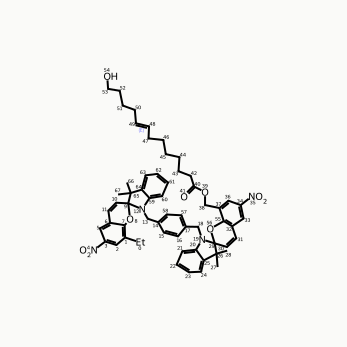 CCc1cc([N+](=O)[O-])cc2c1OC1(C=C2)N(Cc2ccc(CN3c4ccccc4C(C)(C)C34C=Cc3cc([N+](=O)[O-])cc(COC(=O)CCCCCC/C=C/CCCCO)c3O4)cc2)c2ccccc2C1(C)C